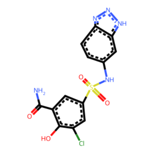 NC(=O)c1cc(S(=O)(=O)Nc2ccc3nn[nH]c3c2)cc(Cl)c1O